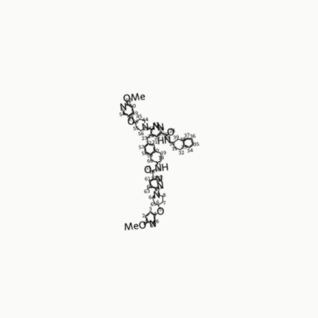 COc1ccc(OC2CCN(c3nnc(C(=O)NC4CCc5cc(Cc6cc(C(=O)NC7CCc8ccccc8C7)nnc6N6CCC(Oc7ccc(OC)nc7)CC6)ccc5C4)cc3C)CC2)cn1